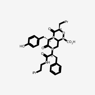 CC(C)CCNC(=O)[C@H](Cc1ccccc1)N1CC2N(C(=O)O)O[C@H](CC(C)C)C(=O)N2[C@@H](Cc2ccc(O)cc2)C1=O